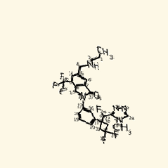 CCCNCc1cc2c(c(C(F)(F)F)c1)CN(c1cccc(C3([C@@H](F)c4nncn4C)CC(F)(F)C3)c1)C2=O